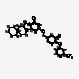 O=c1nc(OCc2ccc(Oc3ccnc(C(F)(F)F)c3)c(F)c2)cc2n1CC1CC3(CCCCC3)CCN21